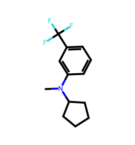 CN(c1cccc(C(F)(F)F)c1)C1CCCC1